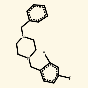 Fc1ccc(CN2CCN(Cc3ccccc3)CC2)c(F)c1